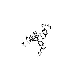 C=C/C(=C\N(C)C)c1cc2c(cc1CCc1ccc(C)cc1C)CC=C2CC=O